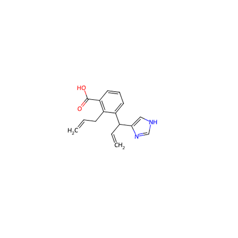 C=CCc1c(C(=O)O)cccc1C(C=C)c1c[nH]cn1